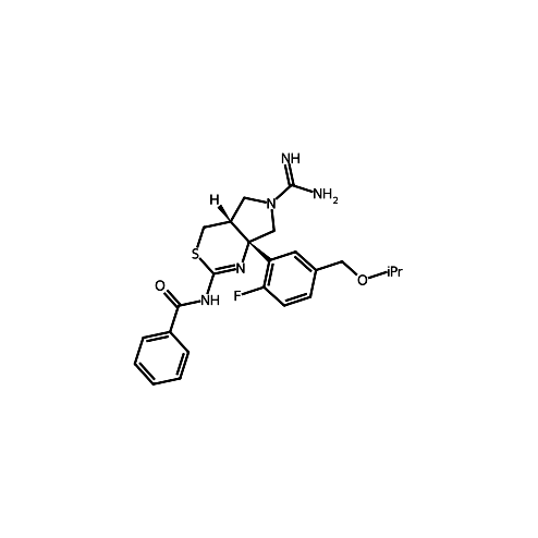 CC(C)OCc1ccc(F)c([C@]23CN(C(=N)N)C[C@H]2CSC(NC(=O)c2ccccc2)=N3)c1